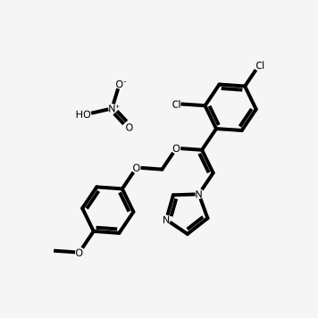 COc1ccc(OCOC(=Cn2ccnc2)c2ccc(Cl)cc2Cl)cc1.O=[N+]([O-])O